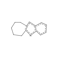 [c]1c2c(nc3ccccc13)CCCCC2